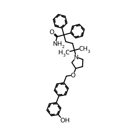 CC(C)(CCC(C(N)=O)(c1ccccc1)c1ccccc1)N1CCC(OCc2ccc(-c3cccc(O)c3)cc2)C1